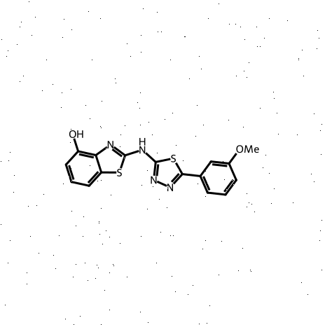 COc1cccc(-c2nnc(Nc3nc4c(O)cccc4s3)s2)c1